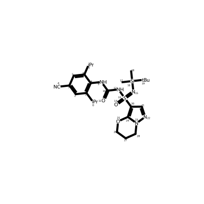 CC(C)c1cc(C#N)cc(C(C)C)c1NC(=O)NS(=O)(=N[Si](C)(C)C(C)(C)C)c1cnn2c1OCCC2